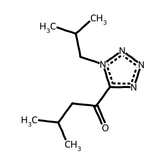 CC(C)CC(=O)c1nnnn1CC(C)C